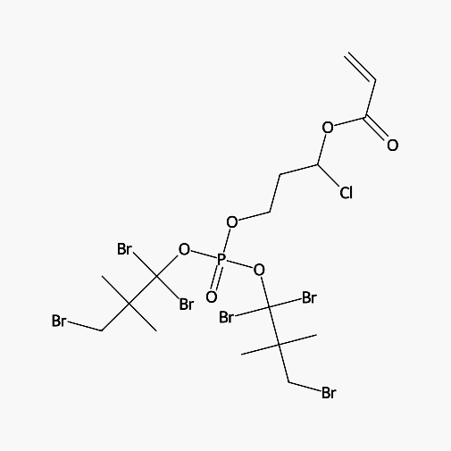 C=CC(=O)OC(Cl)CCOP(=O)(OC(Br)(Br)C(C)(C)CBr)OC(Br)(Br)C(C)(C)CBr